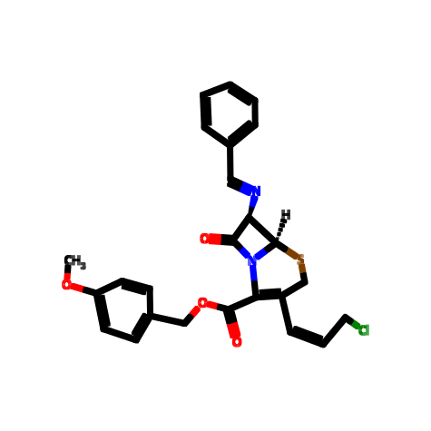 COc1ccc(COC(=O)C2=C(/C=C\CCl)CS[C@@H]3[C@H](/N=C/c4ccccc4)C(=O)N23)cc1